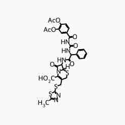 CC(=O)Oc1ccc(C(=O)NC(=O)NC(C(=O)NC2C(=O)N3C(C(=O)O)=C(CSc4nnc(C)s4)CS[C@@H]23)c2ccccc2)cc1OC(C)=O